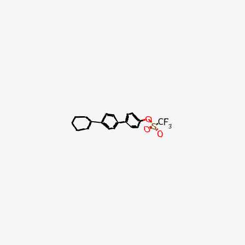 O=S(=O)(Oc1ccc(-c2ccc(C3CCCCC3)cc2)cc1)C(F)(F)F